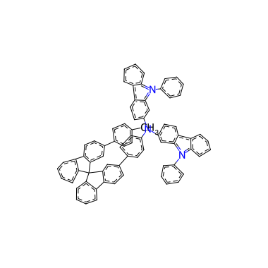 Cc1ccc(-c2ccc3c(c2)C2(c4ccccc4-3)c3ccccc3-c3ccc(-c4ccc(N(c5ccc6c7ccccc7n(-c7ccccc7)c6c5)c5ccc6c7ccccc7n(-c7ccccc7)c6c5)cc4)cc32)cc1